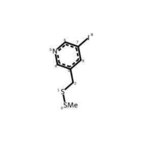 CSSCc1cncc(I)c1